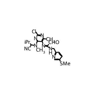 CSc1ccc(CN/C(C=O)=N/c2c(C)nc(Cl)nc2N(C)C(C#N)C(C)C)nc1